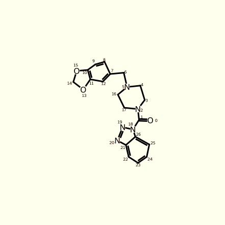 O=C(N1CCN(Cc2ccc3c(c2)OCO3)CC1)n1nnc2ccccc21